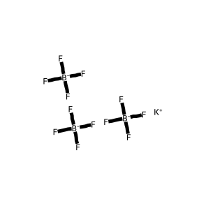 F[B-](F)(F)F.F[B-](F)(F)F.F[B-](F)(F)F.[K+]